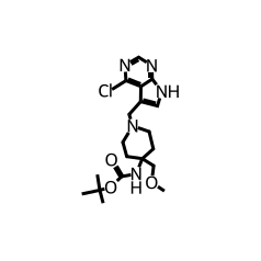 COCC1(NC(=O)OC(C)(C)C)CCN(Cc2c[nH]c3ncnc(Cl)c23)CC1